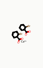 O=C([O-])c1ccccc1Br.O=C([O-])c1ccccc1Br.[Ca+2]